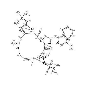 CCOc1nnc(O[C@@H]2C[C@H]3C(=O)N[C@]4(C(=O)NS(=O)(=O)C5(C)CC5)C[C@H]4/C=C\CC[C@@H](C)C[C@@H](C)[C@H](NC(=O)OC(C)(C)C(F)(F)F)C(=O)N3C2)c2ccccc12